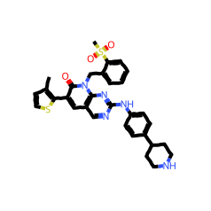 Cc1ccsc1-c1cc2cnc(Nc3ccc(C4CCNCC4)cc3)nc2n(Cc2ccccc2S(C)(=O)=O)c1=O